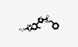 Nc1nc2cc(F)c(-c3csc(C(=O)NCc4ccccc4)c3)cn2n1